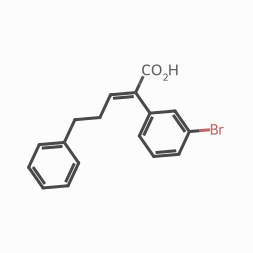 O=C(O)C(=CCCc1ccccc1)c1cccc(Br)c1